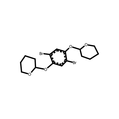 Brc1cc(OC2CCCCO2)c(Br)cc1OC1CCCCO1